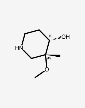 CO[C@]1(C)CNCC[C@@H]1O